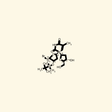 CC1=C[N+]([C@H]2C[C@H](O[Si](C)(C)C(C)(C)C)[C@H](CBr)O2)([C@H]2C[C@H](O)[C@@H](CO)O2)C(=O)NC1=O